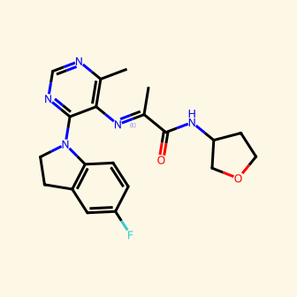 C/C(=N\c1c(C)ncnc1N1CCc2cc(F)ccc21)C(=O)NC1CCOC1